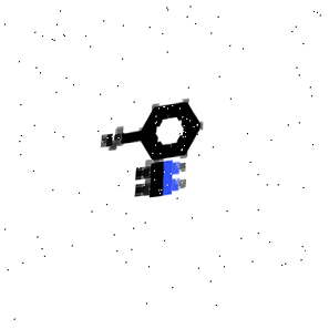 C#N.C#N.Cc1ccccc1